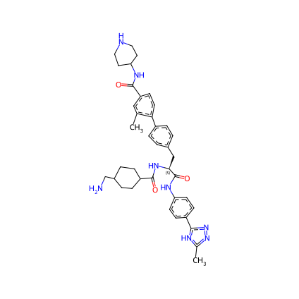 Cc1nnc(-c2ccc(NC(=O)[C@H](Cc3ccc(-c4ccc(C(=O)NC5CCNCC5)cc4C)cc3)NC(=O)C3CCC(CN)CC3)cc2)[nH]1